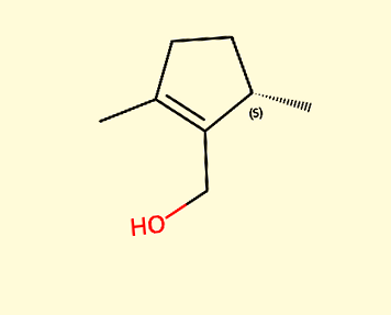 CC1=C(CO)[C@@H](C)CC1